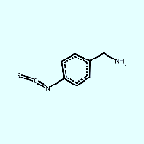 NCc1ccc(N=C=S)cc1